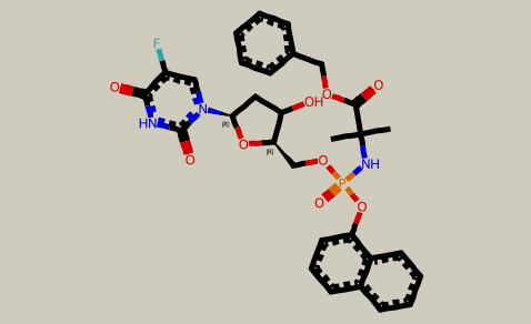 CC(C)(NP(=O)(OC[C@H]1O[C@@H](n2cc(F)c(=O)[nH]c2=O)CC1O)Oc1cccc2ccccc12)C(=O)OCc1ccccc1